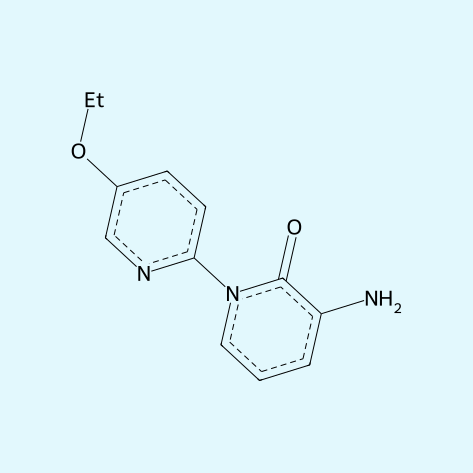 CCOc1ccc(-n2cccc(N)c2=O)nc1